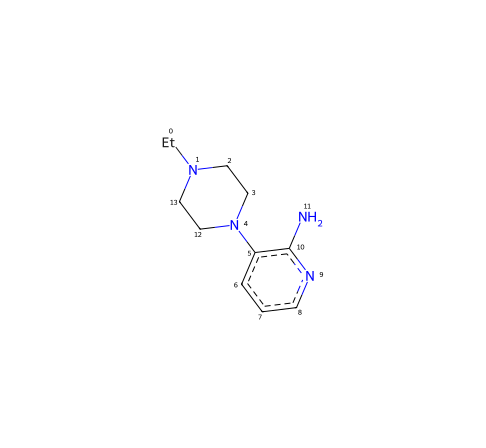 CCN1CCN(c2cccnc2N)CC1